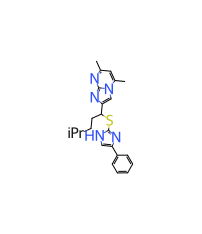 Cc1cc(C)n2cc(C(CCC(C)C)Sc3nc(-c4ccccc4)c[nH]3)nc2n1